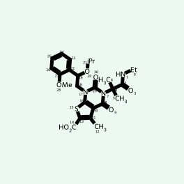 CCNC(=O)C(C)(C)n1c(=O)c2c(C)c(C(=O)O)sc2n(CC(OC(C)C)c2ccccc2OC)c1=O